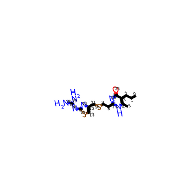 CCCc1c(C)[nH]c(CCSCc2csc(N=C(N)N)n2)nc1=O